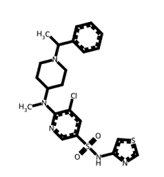 CC(c1ccccc1)N1CCC(N(C)c2ncc(S(=O)(=O)Nc3cscn3)cc2Cl)CC1